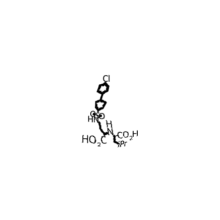 CC(C)C[C@H](N[C@@H](CCNS(=O)(=O)c1ccc(-c2ccc(Cl)cc2)cc1)C(=O)O)C(=O)O